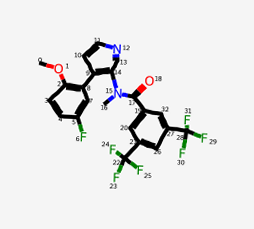 COc1ccc(F)cc1-c1ccncc1N(C)C(=O)c1cc(C(F)(F)F)cc(C(F)(F)F)c1